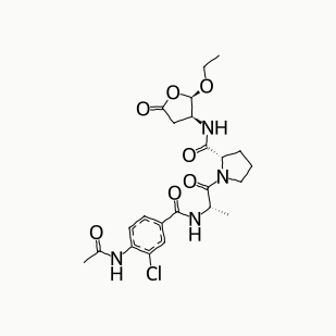 CCO[C@@H]1OC(=O)C[C@@H]1NC(=O)[C@@H]1CCCN1C(=O)[C@H](C)NC(=O)c1ccc(NC(C)=O)c(Cl)c1